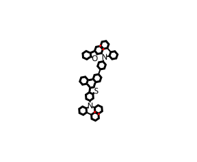 c1ccc(-c2ccccc2N(c2ccccc2)c2ccc3c(c2)sc2c4ccc(-c5ccc(N(c6ccccc6-c6ccccc6)c6cccc7c6oc6ccccc67)cc5)cc4c4ccccc4c32)cc1